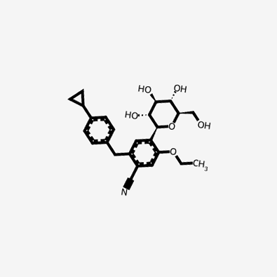 CCOc1cc(C#N)c(Cc2ccc(C3CC3)cc2)cc1[C@@H]1O[C@H](CO)[C@@H](O)[C@H](O)[C@H]1O